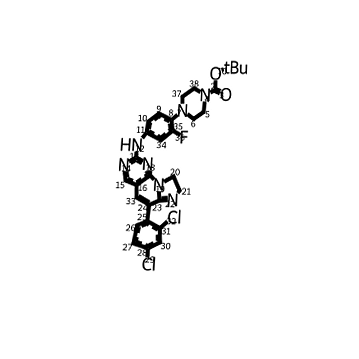 CC(C)(C)OC(=O)N1CCN(c2ccc(Nc3ncc4c(n3)N3CCN=C3C(c3ccc(Cl)cc3Cl)=C4)cc2F)CC1